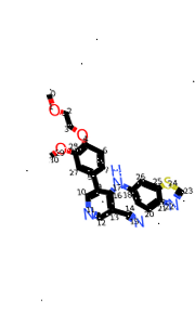 COCCOc1ccc(-c2cncc(C#N)c2Nc2ccc3ncsc3c2)cc1OC